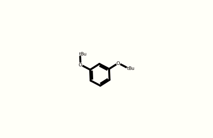 CC(C)(C)Oc1cccc(OC(C)(C)C)c1